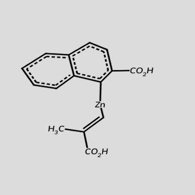 CC(=[CH][Zn][c]1c(C(=O)O)ccc2ccccc12)C(=O)O